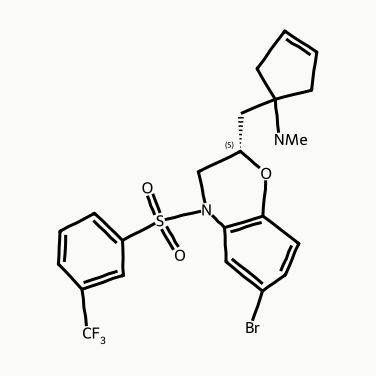 CNC1(C[C@H]2CN(S(=O)(=O)c3cccc(C(F)(F)F)c3)c3cc(Br)ccc3O2)CC=CC1